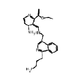 C=C(OCC)C1=NC=CC(N)/C1=C\NCc1cnc(CCCP)c2ccccc12